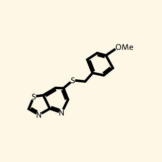 COc1ccc(CSc2cnc3ncsc3c2)cc1